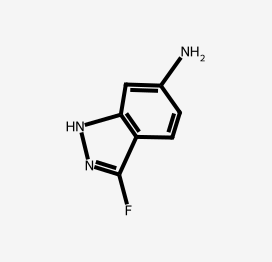 Nc1ccc2c(F)n[nH]c2c1